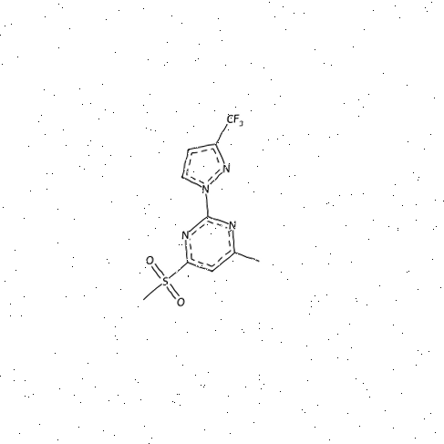 Cc1cc(S(C)(=O)=O)nc(-n2ccc(C(F)(F)F)n2)n1